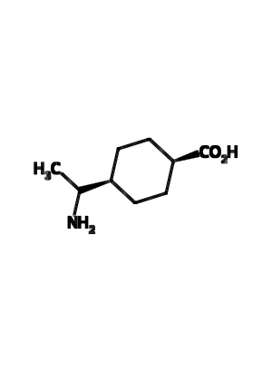 CC(N)[C@H]1CC[C@@H](C(=O)O)CC1